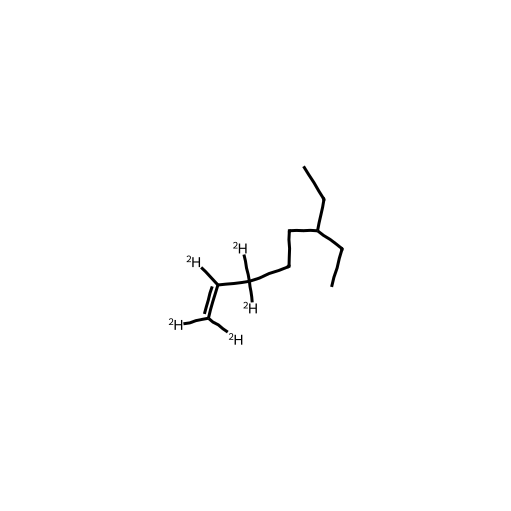 [2H]C([2H])=C([2H])C([2H])([2H])CCC(CC)CC